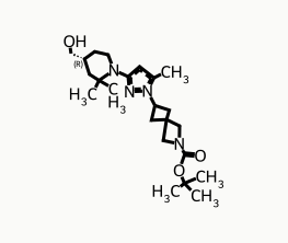 Cc1cc(N2CC[C@@H](CO)CC2(C)C)nn1C1CC2(C1)CN(C(=O)OC(C)(C)C)C2